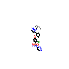 CCn1nccc1C1CCCC1Oc1ccc(S(=O)(=O)Nc2ccncn2)c(F)c1